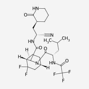 CC(C)C[C@H](NC(=O)C(F)(F)F)C(=O)N1[C@@H]2CC[C@H]([C@H]1C(=O)N[C@@H](C#N)C[C@@H]1CCCNC1=O)C(F)(F)C2